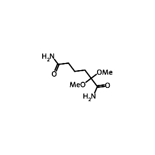 COC(CCCC(N)=O)(OC)C(N)=O